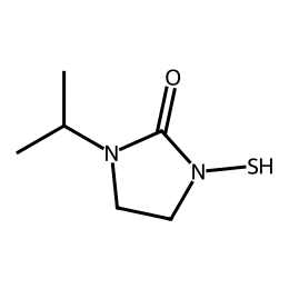 CC(C)N1CCN(S)C1=O